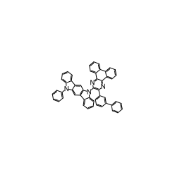 c1ccc(-c2cccc(-c3nc4c5ccccc5c5ccccc5c4nc3-n3c4ccccc4c4cc5c(cc43)c3ccccc3n5-c3ccccc3)c2)cc1